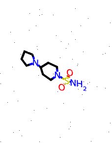 NS(=O)(=O)N1CCC(N2CCCC2)CC1